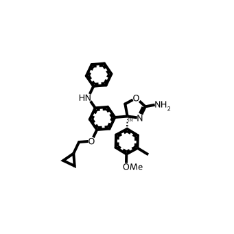 COc1ccc([C@]2(c3cc(Nc4ccccc4)cc(OCC4CC4)c3)COC(N)=N2)cc1C